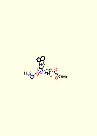 COC(=O)/C=C/C(=O)N1CC(CN(C)c2nc(OC[C@@H]3CCCN3C)nc3c2CCN(c2cccc4cccc(Cl)c24)C3)C1